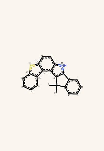 CC1(C)c2ccccc2-c2[nH]c3ccc4sc5ccccc5c4c3c21